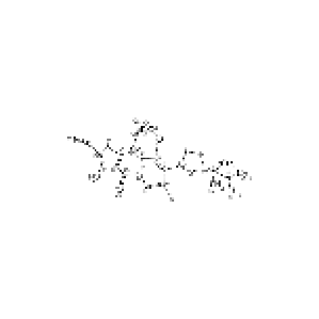 COc1c(N2CC[C@@H](C(C)(C)N(C)C)C2)c(F)cc2c(=O)c3c(O)c(C#N)sc3n(C3CC3)c12